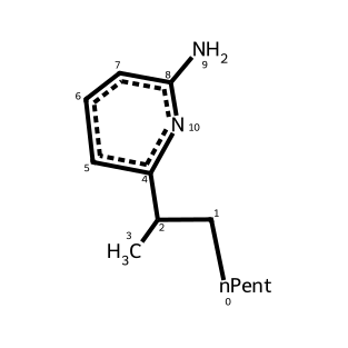 CCCCCCC(C)c1cccc(N)n1